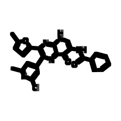 Cc1cc(-c2nc3c(=O)c(NC(=O)c4ccccc4)c[nH]c3nc2-c2ccc(C)o2)cc(Cl)n1